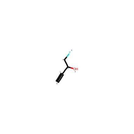 C#CC(O)CF